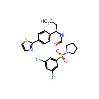 O=C(O)C[C@@H](NC(=O)[C@@H]1CCCN1S(=O)(=O)c1cc(Cl)cc(Cl)c1)c1ccc(-c2nccs2)cc1